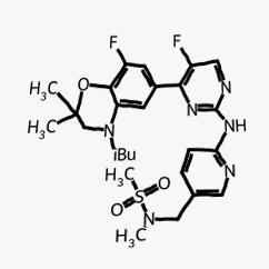 CCC(C)N1CC(C)(C)Oc2c(F)cc(-c3nc(Nc4ccc(CN(C)S(C)(=O)=O)cn4)ncc3F)cc21